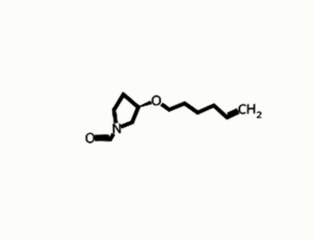 C=CCCCCO[C@@H]1CCN(C=O)C1